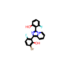 Oc1cccc(F)c1-c1nc(-c2c(F)ccc(Br)c2O)c2ccccn12